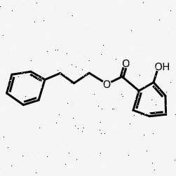 O=C(OCCCc1ccccc1)c1ccccc1O